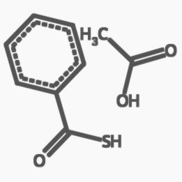 CC(=O)O.O=C(S)c1ccccc1